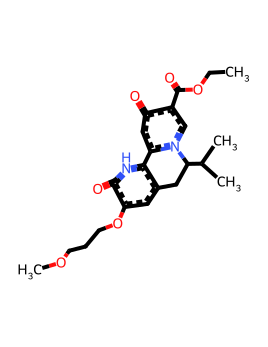 CCOC(=O)c1cn2c(cc1=O)-c1[nH]c(=O)c(OCCCOC)cc1CC2C(C)C